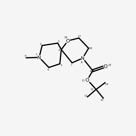 CN1CCC2(CC1)CN(C(=O)OC(C)(C)C)CCO2